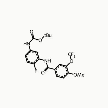 COc1ccc(C(=O)Nc2cc(NC(=O)OC(C)(C)C)ccc2F)cc1OC(F)(F)F